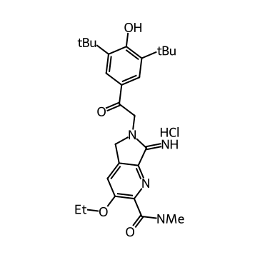 CCOc1cc2c(nc1C(=O)NC)C(=N)N(CC(=O)c1cc(C(C)(C)C)c(O)c(C(C)(C)C)c1)C2.Cl